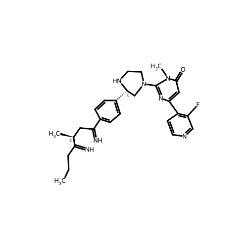 CCCC(=N)[C@@H](C)CC(=N)c1ccc([C@H]2CN(c3nc(-c4ccncc4F)cc(=O)n3C)CCN2)cc1